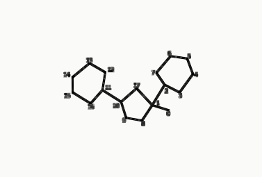 CC1(C2CCCCC2)CCC(C2CCCCC2)C1